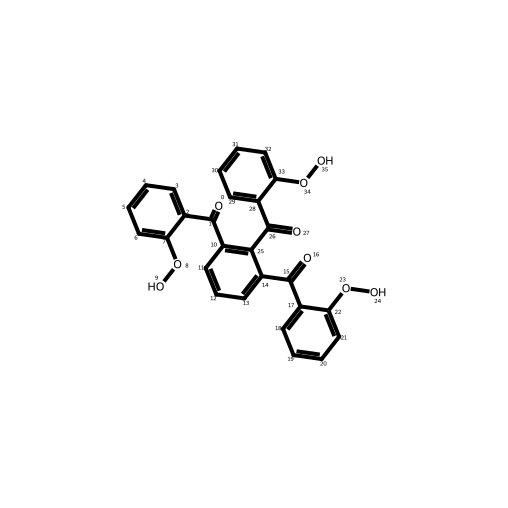 O=C(c1ccccc1OO)c1cccc(C(=O)c2ccccc2OO)c1C(=O)c1ccccc1OO